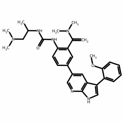 C=C(c1cc(-c2cnc3[nH]cc(-c4ccccc4OC)c3c2)ccc1NC(=O)NC(C)CN(C)C)N(C)C